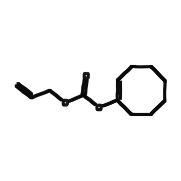 C=CCOC(=O)OC1=CCCCCCC1